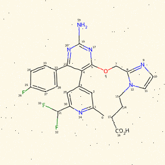 Cc1cc(-c2c(OCc3nccn3CCCC(=O)O)nc(N)nc2-c2ccc(F)cc2)cc(C(F)F)n1